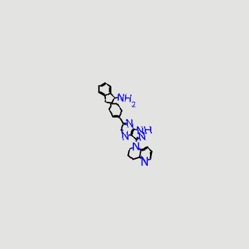 NC1c2ccccc2CC12CC=C(c1cnc3c(N4CCCc5ncccc54)n[nH]c3n1)CC2